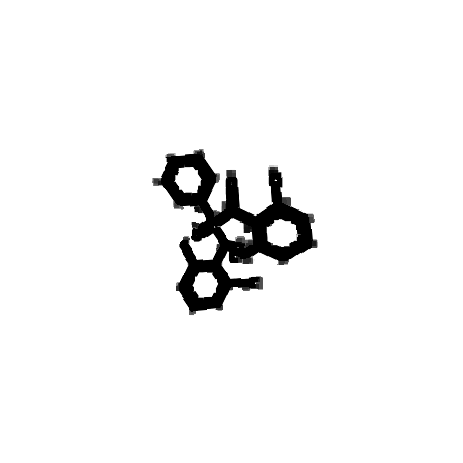 Cc1cccc(Cl)c1C(=O)P(=O)(C(=O)c1c(Cl)cccc1Cl)c1ccccc1